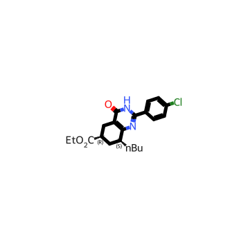 CCCC[C@H]1C[C@@H](C(=O)OCC)Cc2c1nc(-c1ccc(Cl)cc1)[nH]c2=O